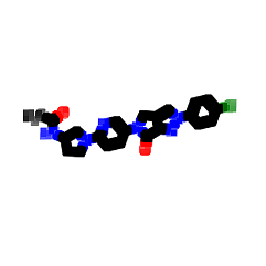 CC(=O)NC1CCN(c2ccc(N3Cc4cn(-c5ccc(Cl)cc5)nc4C3=O)cn2)C1